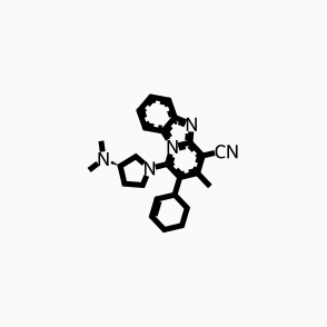 Cc1c(C2C=CCCC2)c(N2CC[C@H](N(C)C)C2)n2c(nc3ccccc32)c1C#N